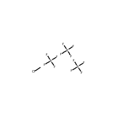 CCl.F[B-](F)(F)F.F[B-](F)(F)F.F[B-](F)(F)F